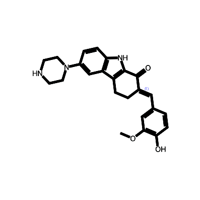 COc1cc(/C=C2\CCc3c([nH]c4ccc(N5CCNCC5)cc34)C2=O)ccc1O